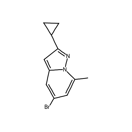 Cc1cc(Br)cc2cc(C3CC3)nn12